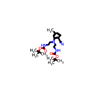 Cc1ccc(C#N)c(N(CCNC(=O)OC(C)(C)C)CCNC(=O)OC(C)(C)C)c1